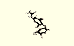 CNC(=O)Nc1cc(C)c(Sc2cc(Cl)ccc2C)c(C)c1